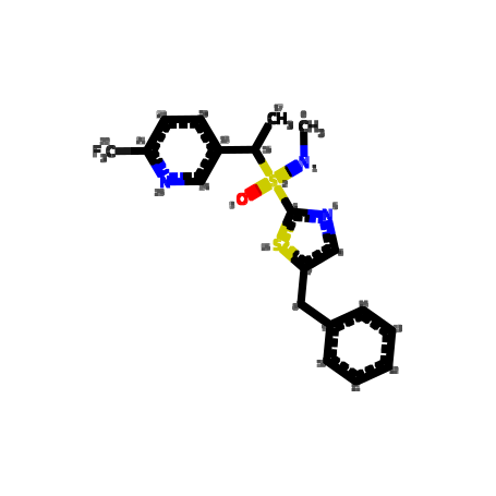 CN=S(=O)(c1ncc(Cc2ccccc2)s1)C(C)c1ccc(C(F)(F)F)nc1